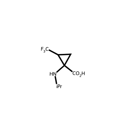 CC(C)NC1(C(=O)O)CC1C(F)(F)F